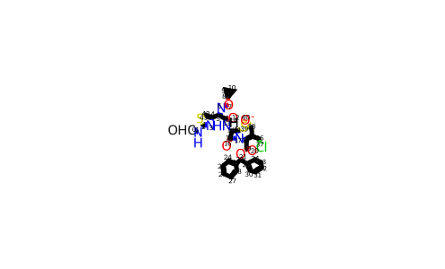 O=CNc1nc(/C(=N/OC2CC2)C(=O)N[C@@H]2C(=O)N3C(C(=O)OC(c4ccccc4)c4ccccc4)=C(CCl)C[S+]([O-])[C@H]23)cs1